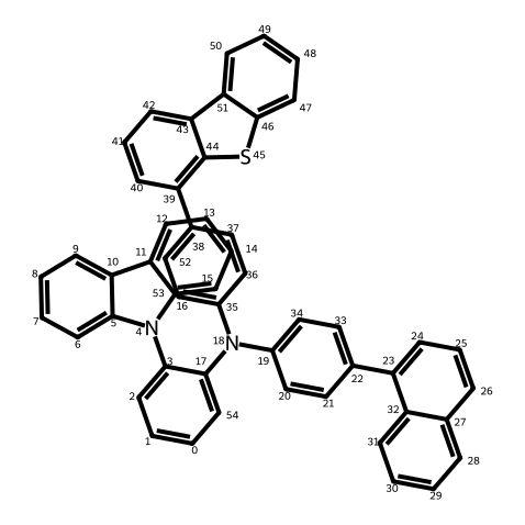 c1ccc(-n2c3ccccc3c3ccccc32)c(N(c2ccc(-c3cccc4ccccc34)cc2)c2ccc(-c3cccc4c3sc3ccccc34)cc2)c1